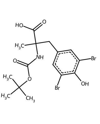 CC(C)(C)OC(=O)NC(C)(Cc1cc(Br)c(O)c(Br)c1)C(=O)O